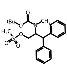 CN(C(=O)OC(C)(C)C)C(COS(C)(=O)=O)C(c1ccccc1)c1ccccc1